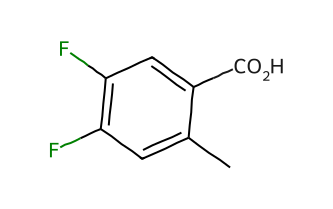 Cc1cc(F)c(F)cc1C(=O)O